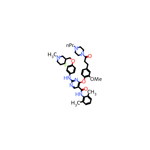 CCCN1CCN(C(=O)CCc2ccc(Oc3nc(Nc4ccc(OCC5CCCN(C)C5)c(F)c4)ncc3C(=O)Nc3c(C)cccc3C)c(OC)c2)CC1